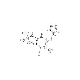 CC(C)(C)OC(=O)N[C@H](Cn1cccn1)[C@H](O)CF